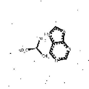 C[C@H](N)C(=O)O.c1ncc2[nH]cnc2n1